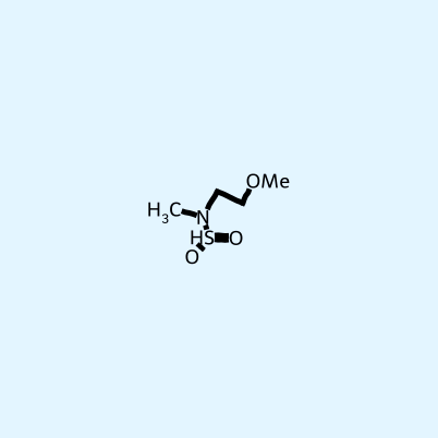 COCCN(C)[SH](=O)=O